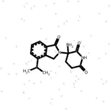 BC1(N2Cc3c(cccc3C(C)C)C2=O)CCC(=O)NC1=O